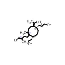 CC/C=C(\C)CC/C1=C(\C)CCC(=C(C)C)[C@@H](CCCC(C)C)CCC[C@H]1CCC(C)C